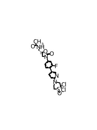 CC(=O)NC[C@H]1CN(c2ccc(-c3ccc(N4CC[S+]([O-])C(Cl)(Cl)C4)nc3)c(F)c2)C(=O)O1